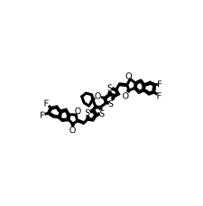 O=C1C(=Cc2cc3sc4c(c3s2)OC2(CCCCC2)c2c-4sc3cc(C=C4C(=O)c5cc6cc(F)c(F)cc6cc5C4=O)sc23)C(=O)c2cc3cc(F)c(F)cc3cc21